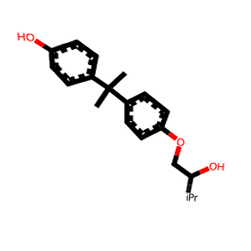 CC(C)C(O)COc1ccc(C(C)(C)c2ccc(O)cc2)cc1